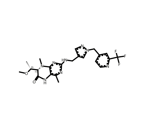 CO[C@H](C)[C@H]1C(=O)Nc2c(C)nc(NCc3cnn(Cc4ccnc(C(F)(F)F)c4)c3)nc2N1C